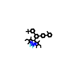 CCC1=C(C)C2=C(c3cc(-c4ccc(-c5ccccc5C)cc4)cc(-c4cccc(C(C)(C)C)c4)c3)c3c(C)c(CC)c(C)n3[N+](F)(F)[N+]2=C1C